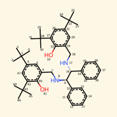 CC(C)(C)c1cc(CN[C@H](c2ccccc2)[C@H](NCc2cc(C(C)(C)C)cc(C(C)(C)C)c2O)c2ccccc2)c(O)c(C(C)(C)C)c1